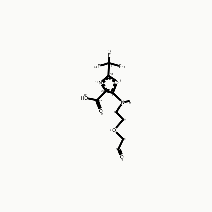 CN(CCOCC=O)c1sc(C(F)(F)F)nc1C(=O)O